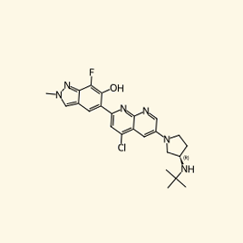 Cn1cc2cc(-c3cc(Cl)c4cc(N5CC[C@@H](NC(C)(C)C)C5)cnc4n3)c(O)c(F)c2n1